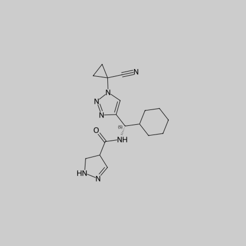 N#CC1(n2cc([C@@H](NC(=O)C3C=NNC3)C3CCCCC3)nn2)CC1